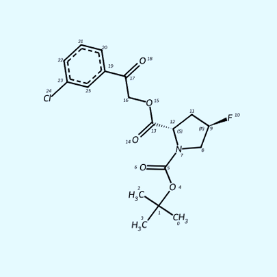 CC(C)(C)OC(=O)N1C[C@H](F)C[C@H]1C(=O)OCC(=O)c1cccc(Cl)c1